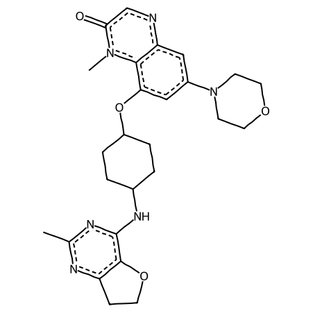 Cc1nc2c(c(NC3CCC(Oc4cc(N5CCOCC5)cc5ncc(=O)n(C)c45)CC3)n1)OCC2